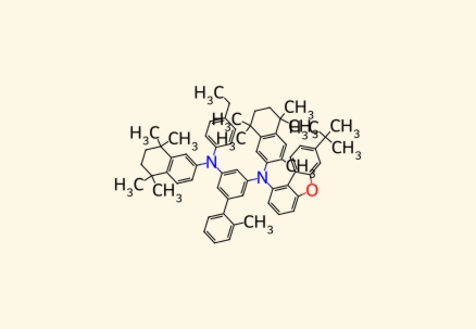 CCc1ccc(N(c2cc(-c3ccccc3C)cc(N(c3cc4c(cc3C)C(C)(C)CCC4(C)C)c3cccc4oc5cc(C(C)(C)C)ccc5c34)c2)c2ccc3c(c2)C(C)(C)CCC3(C)C)cc1